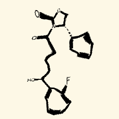 O=C(CCC[C@H](O)c1ccccc1F)N1C(=O)OC[C@@H]1c1ccccc1